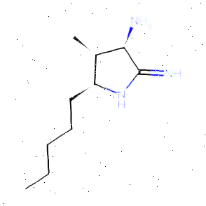 CCCCC[C@@H]1NC(=N)[C@H](N)[C@@H]1C